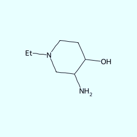 CCN1CCC(O)C(N)C1